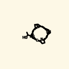 CC(O)c1cc2cc3nc(cc4ccc(cc5nc(cc1[nH]2)C=C5)[nH]4)CC3